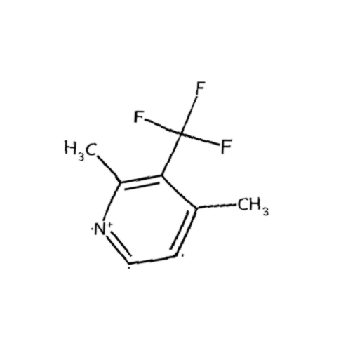 CC1=[C][C]=[N+]C(C)=C1C(F)(F)F